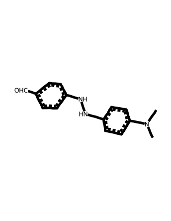 CN(C)c1ccc(NNc2ccc(C=O)cc2)cc1